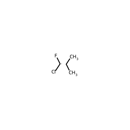 CCC.F[CH]Cl